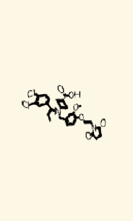 CCC(c1ccc(Cl)c(Cl)c1)N(Cc1ccc(OCCN2C(=O)CCC2=O)c(OC)c1)[C@H]1C[C@@H](C(=O)O)C1